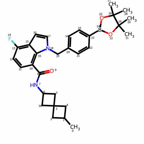 CC1CC2(C1)CC(NC(=O)c1ccc(F)c3ccn(Cc4ccc(B5OC(C)(C)C(C)(C)O5)cc4)c13)C2